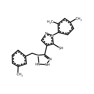 Cc1cccc(CN2NNN=C2c2cnn(-c3ccc(C)cc3C)c2S)c1